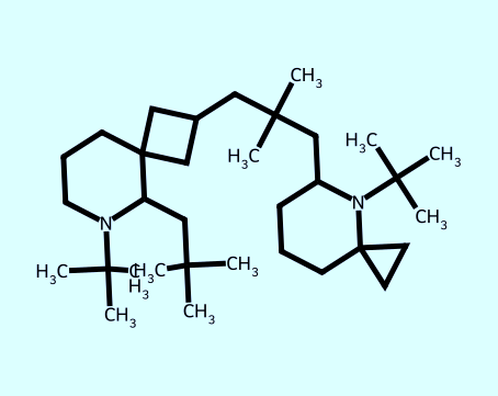 CC(C)(C)CC1N(C(C)(C)C)CCCC12CC(CC(C)(C)CC1CCCC3(CC3)N1C(C)(C)C)C2